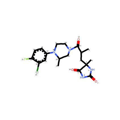 CC(CC1(C)NC(=O)NC1=O)C(=O)N1CCN(c2ccc(F)c(Cl)c2)C(C)C1